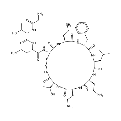 CC(C)C[C@@H]1NC(=O)[C@@H](Cc2ccccc2)NC(=O)[C@H](CCN)NC(=O)[C@@H](NC(=O)[C@H](CCN)NC(=O)[C@@H](NC(=O)CN)C(C)O)CCNC(=O)[C@H](C(C)O)NC(=O)[C@H](CCN)NC(=O)[C@H](CCN)NC1=O